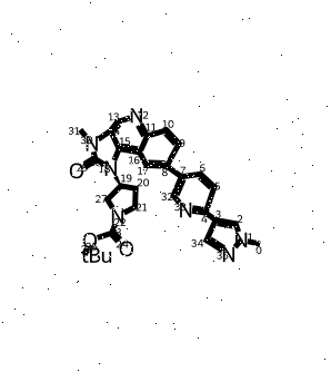 Cn1cc(-c2ccc(-c3ccc4ncc5c(c4c3)n([C@H]3CCN(C(=O)OC(C)(C)C)C3)c(=O)n5C)cn2)cn1